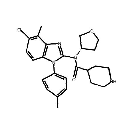 Cc1ccc(-n2c(N(C(=O)C3CCNCC3)[C@H]3CCOC3)nc3c(C)c(Cl)ccc32)cc1